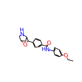 CCOc1ccc(NC(=O)c2ccc(C3OC4CNC3C4)cc2)cc1